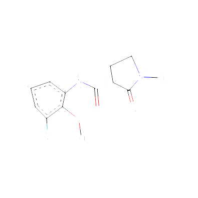 COc1c(F)cccc1NC(=O)[C@@H]1CCN(C)C1=O